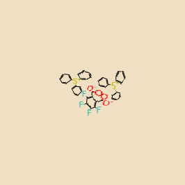 O=C([O-])c1c(F)c(F)c(F)c(F)c1C(=O)[O-].c1ccc([S+](c2ccccc2)c2ccccc2)cc1.c1ccc([S+](c2ccccc2)c2ccccc2)cc1